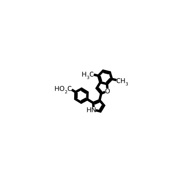 Cc1ccc(C)c2oc(-c3cc[nH]c3-c3ccc(C(=O)O)cc3)cc12